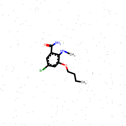 CCCCOc1cc(Br)cc(C(N)=O)c1NC